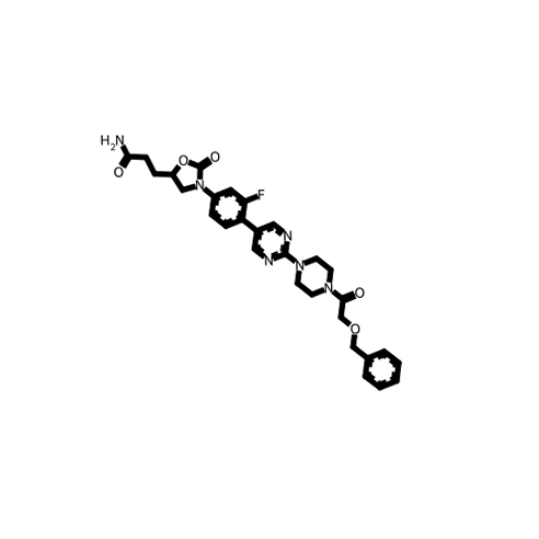 NC(=O)CCC1CN(c2ccc(-c3cnc(N4CCN(C(=O)COCc5ccccc5)CC4)nc3)c(F)c2)C(=O)O1